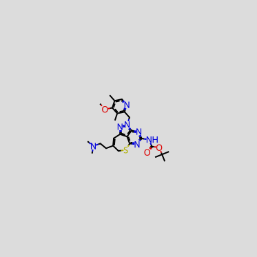 COc1c(C)cnc(Cn2nc3c4c(nc(NC(=O)OC(C)(C)C)nc42)SCC(CCN(C)C)=C3)c1C